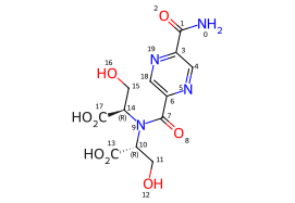 NC(=O)c1cnc(C(=O)N([C@H](CO)C(=O)O)[C@H](CO)C(=O)O)cn1